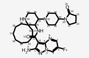 Nc1nn2cc(F)cnc2c1C(=O)NC1C(N2CCC(N3CCCC3=O)CC2)CCNC12CCCCCCCC2